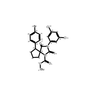 CC(C)(C)OC(=O)N1C(=S)N(c2cc(Cl)cc(Cl)c2)C(=O)C12CCCC2c1ccc(Br)cc1